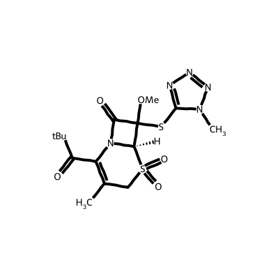 COC1(Sc2nnnn2C)C(=O)N2C(C(=O)C(C)(C)C)=C(C)CS(=O)(=O)[C@@H]21